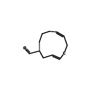 O=CC1C/C=C/CC/C=C\CCC1